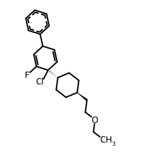 CCOCC[C@H]1CC[C@H](C2(Cl)C=CC(c3ccccc3)C=C2F)CC1